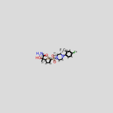 C[C@@H]1CN(c2ccc(F)cc2C(F)(F)F)CCN1S(=O)(=O)C1=CCC(C(C)(O)C(N)=O)S1